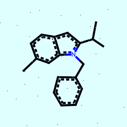 Cc1ccc2cc(C(C)C)n(Cc3ccccc3)c2c1